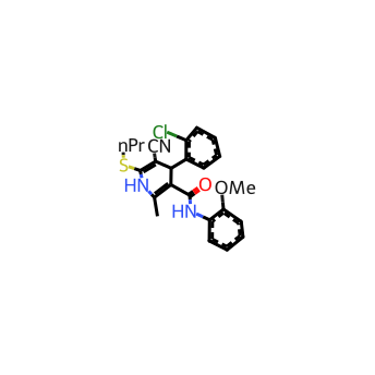 CCCSC1=C(C#N)C(c2ccccc2Cl)C(C(=O)Nc2ccccc2OC)=C(C)N1